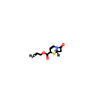 C=CCOC(=O)C1C=CN2C(=O)C[C@H]2S1